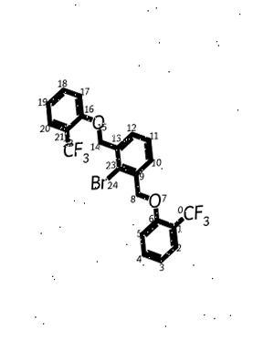 FC(F)(F)c1ccccc1OCc1cccc(COc2ccccc2C(F)(F)F)c1Br